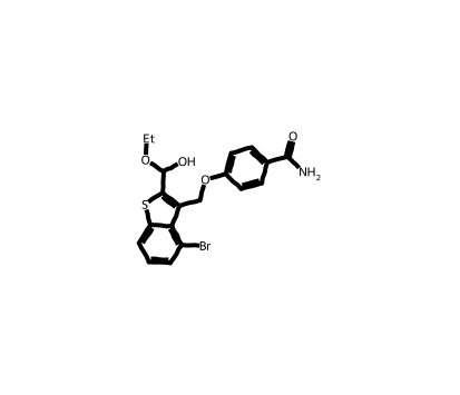 CCOC(O)c1sc2cccc(Br)c2c1COc1ccc(C(N)=O)cc1